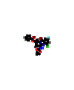 CC(C)(C)OC(=O)NC(c1nc2c(Cl)cc(F)cc2c(=O)n1C1CC(OC(=O)c2ccccc2)C1)C1CC1